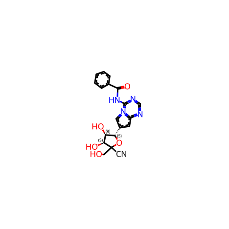 N#CC1(CO)O[C@@H](c2cc3ncnc(NC(=O)c4ccccc4)n3c2)[C@H](O)[C@@H]1O